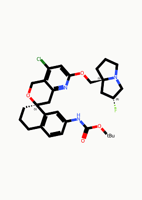 CC(C)(C)OC(=O)Nc1ccc2c(c1)[C@]1(CCC2)Cc2nc(OC[C@@]34CCCN3C[C@H](F)C4)cc(Cl)c2CO1